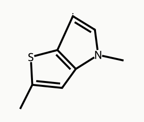 Cc1cc2c([c]cn2C)s1